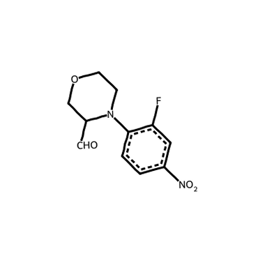 O=CC1COCCN1c1ccc([N+](=O)[O-])cc1F